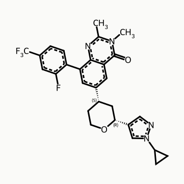 Cc1nc2c(-c3ccc(C(F)(F)F)cc3F)cc([C@H]3CCO[C@@H](c4cnn(C5CC5)c4)C3)cc2c(=O)n1C